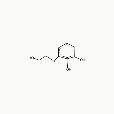 OCCOc1cccc(O)c1O